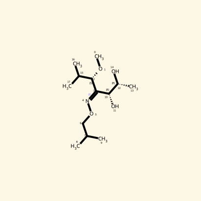 CO[C@H](/C(=N/OCC(C)C)[C@@H](O)[C@@H](C)O)C(C)C